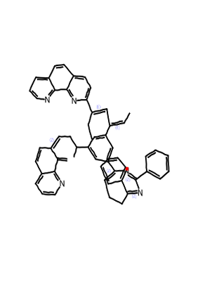 C=c1/c(=C\CC(C)c2cc(C3=C/CC/C(c4ccccc4)=N/C(c4ccccc4)=N\3)cc(C(=C/C)/C=C(\CC)c3ccc4ccc5cccnc5c4n3)c2)ccc2cccnc12